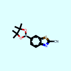 CC1(C)OB(c2ccc3nc(C#N)sc3c2)OC1(C)C